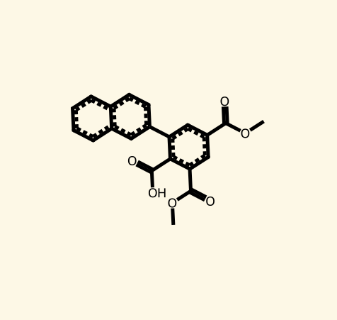 COC(=O)c1cc(C(=O)OC)c(C(=O)O)c(-c2ccc3ccccc3c2)c1